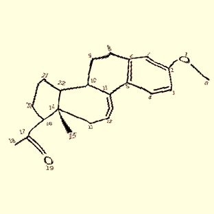 COc1ccc2c(c1)CCC1C2=CC[C@]2(C)C(C(C)=O)CCC12